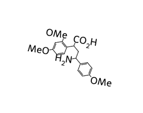 COc1ccc(C(N)CC(C(=O)O)c2ccc(OC)cc2OC)cc1